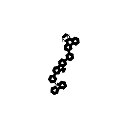 CC1(C)c2cc(-c3cccc(-c4ccc5c(c4)c4ccccc4c4nccnc54)c3)ccc2-c2ccc(-c3cccc(-n4c5ccccc5c5ccccc54)c3)cc21